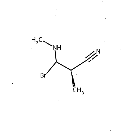 CNC(Br)[C@H](C)C#N